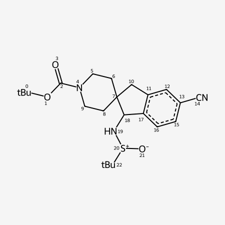 CC(C)(C)OC(=O)N1CCC2(CC1)Cc1cc(C#N)ccc1C2N[S+]([O-])C(C)(C)C